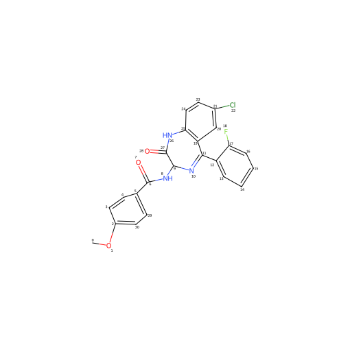 COc1ccc(C(=O)NC2N=C(c3ccccc3F)c3cc(Cl)ccc3NC2=O)cc1